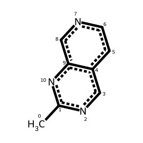 Cc1ncc2ccncc2n1